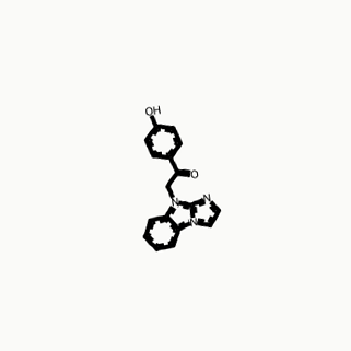 O=C(Cn1c2ccccc2n2ccnc12)c1ccc(O)cc1